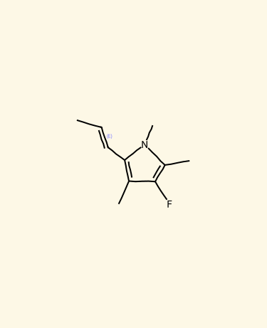 C/C=C/c1c(C)c(F)c(C)n1C